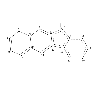 C1=CCC2C=c3[nH]c4ccccc4c3=CC2=C1